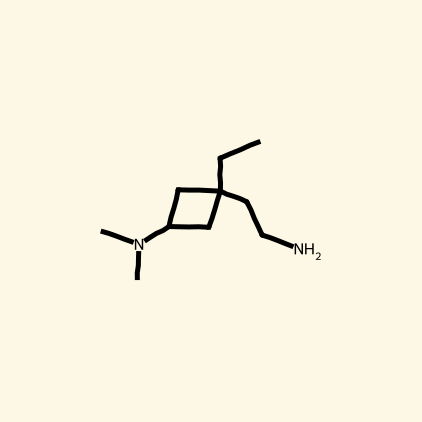 CCC1(CCN)CC(N(C)C)C1